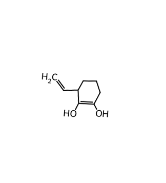 C=CC1CCCC(O)=C1O